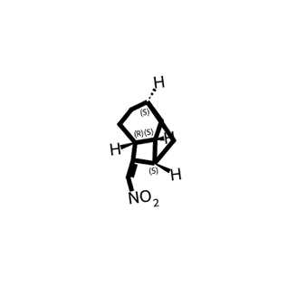 O=[N+]([O-])C=C1[C@H]2C[C@H]3CC[C@@H]1[C@@H]2C3